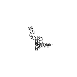 COc1cc2ncnc(Nc3ccc(Oc4cc5ncnn5cn4)c(C)c3)c2c(O[C@@H]2CCN(C)CC2(F)F)c1OC